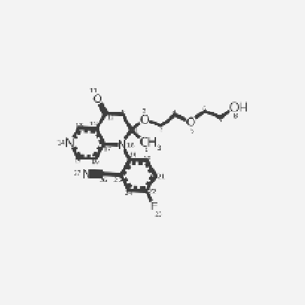 CC1(OCCOCCO)CC(=O)c2cnccc2N1c1ccc(F)cc1C#N